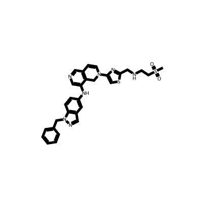 CS(=O)(=O)CCNCc1nc(N2C=Cc3cncc(Nc4ccc5c(cnn5Cc5ccccc5)c4)c3C2)cs1